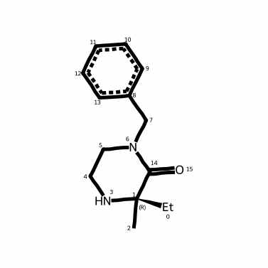 CC[C@@]1(C)NCCN(Cc2ccccc2)C1=O